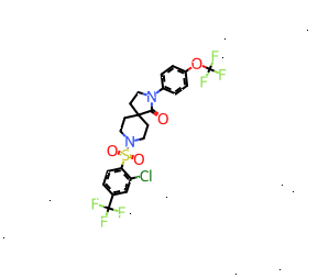 O=C1N(c2ccc(OC(F)(F)F)cc2)CCC12CCN(S(=O)(=O)c1ccc(C(F)(F)F)cc1Cl)CC2